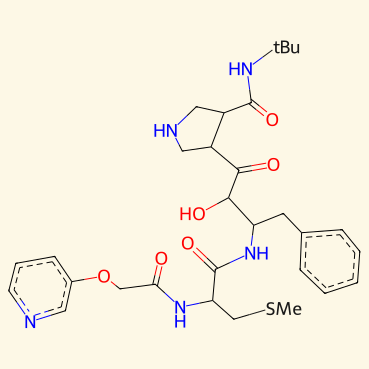 CSCC(NC(=O)COc1cccnc1)C(=O)NC(Cc1ccccc1)C(O)C(=O)C1CNCC1C(=O)NC(C)(C)C